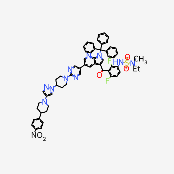 CCN(C)S(=O)(=O)Nc1ccc(F)c(C(=O)c2cn(C(c3ccccc3)(c3ccccc3)c3ccccc3)c3ncc(-c4cnc(N5CCC(n6cc(N7CCC(c8ccc([N+](=O)[O-])cc8)CC7)cn6)CC5)nc4)cc23)c1F